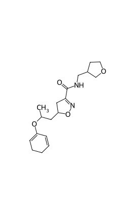 CC(CC1CC(C(=O)NCC2CCOC2)=NO1)OC1=CCCC=C1